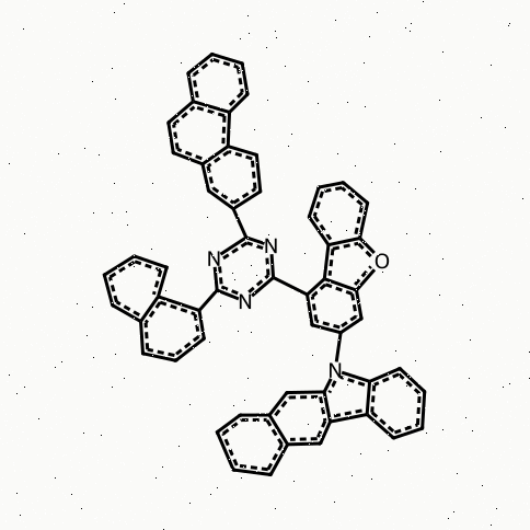 c1ccc2cc3c(cc2c1)c1ccccc1n3-c1cc(-c2nc(-c3ccc4c(ccc5ccccc54)c3)nc(-c3cccc4ccccc34)n2)c2c(c1)oc1ccccc12